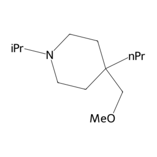 CCCC1(COC)CCN(C(C)C)CC1